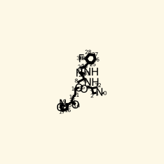 CN1CC(C(=O)NC(COCCCC(=O)c2ccon2)c2ncc(-c3ccccc3F)[nH]2)C1